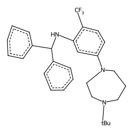 CC(C)(C)N1CCCN(c2ccc(C(F)(F)F)c(NC(c3ccccc3)c3ccccc3)c2)CC1